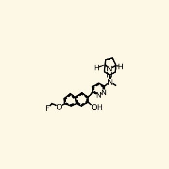 CN(c1ccc(-c2cc3ccc(OCF)cc3cc2O)nn1)C1C[C@H]2CC[C@@H](C1)N2